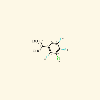 CCOC(=O)C(C=O)c1cc(F)c(F)c(Cl)c1F